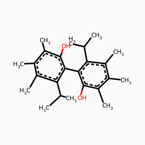 Cc1c(C)c(O)c(-c2c(O)c(C)c(C)c(C)c2C(C)C)c(C(C)C)c1C